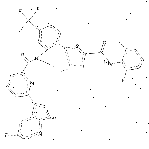 Cc1cccc(F)c1NC(=O)c1cc2c(s1)-c1ccc(C(F)(F)F)cc1N(C(=O)c1cccc(-c3c[nH]c4ncc(F)cc34)n1)CC2